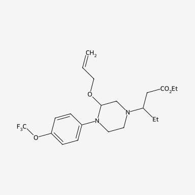 C=CCOC1CN(C(CC)CC(=O)OCC)CCN1c1ccc(OC(F)(F)F)cc1